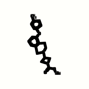 CC(C)(C)OC(=O)N1CC(N2CCc3c(cccc3Oc3ccc(C(F)(F)F)cc3)C2)C1